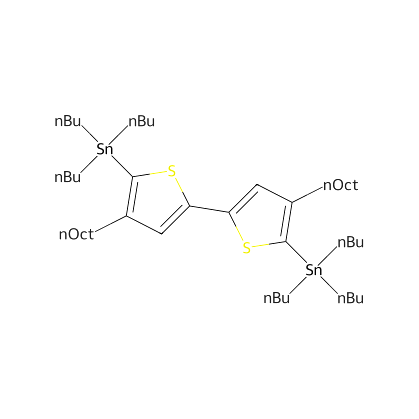 CCCCCCCCc1cc(-c2cc(CCCCCCCC)[c]([Sn]([CH2]CCC)([CH2]CCC)[CH2]CCC)s2)s[c]1[Sn]([CH2]CCC)([CH2]CCC)[CH2]CCC